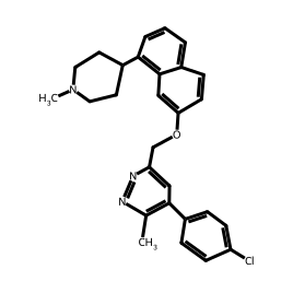 Cc1nnc(COc2ccc3cccc(C4CCN(C)CC4)c3c2)cc1-c1ccc(Cl)cc1